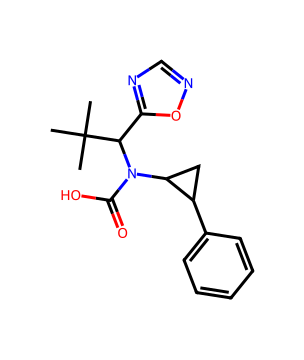 CC(C)(C)C(c1ncno1)N(C(=O)O)C1CC1c1ccccc1